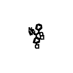 O=C(c1ccccc1)C(c1ccc(Cl)cc1Cl)n1ccnc1